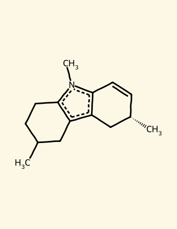 CC1CCc2c(c3c(n2C)C=C[C@H](C)C3)C1